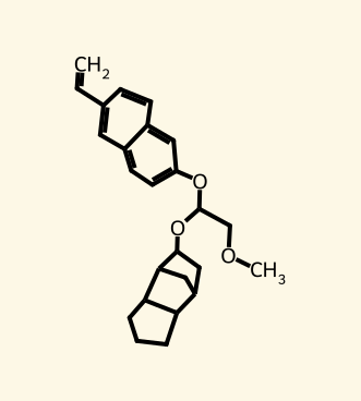 C=Cc1ccc2cc(OC(COC)OC3CC4CC3C3CCCC43)ccc2c1